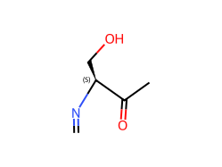 C=N[C@@H](CO)C(C)=O